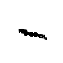 CCC[C@H]1CC[C@H](c2ccc(CCC(=O)Oc3ccc(F)cc3)cc2)CC1